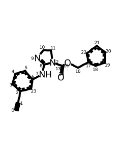 C#Cc1cccc(NC2=NCCN2C(=O)OCc2ccccc2)c1